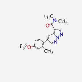 Cc1cc(OC(F)(F)F)ccc1-c1cnn2ncc(C(=O)N(C)C)c2c1